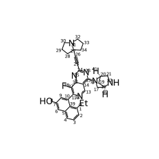 CCc1cccc2cc(O)cc(-c3ncc4c(N5C[C@H]6C[C@@H]5CN6)nc(C#CC56CCCN5CCC6)nc4c3F)c12